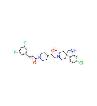 O=C(/C=C/c1cc(F)cc(F)c1)N1CCC(C(O)CN2CCC3(CC2)CNc2cc(Cl)ccc23)CC1